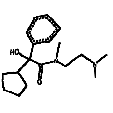 CN(C)CCN(C)C(=O)C(O)(c1ccccc1)C1CCCC1